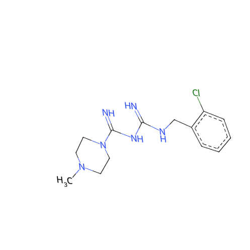 CN1CCN(C(=N)NC(=N)NCc2ccccc2Cl)CC1